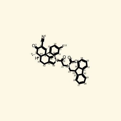 C[C@@H]1C(=O)C(C#N)=C[C@]2(c3ccc(F)cc3)c3nn(C(=O)CN(CC4c5ccccc5-c5ccccc54)C(=O)O)cc3CC[C@@H]12